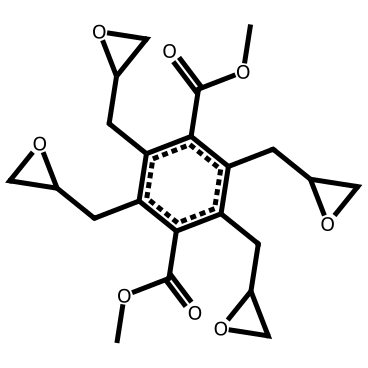 COC(=O)c1c(CC2CO2)c(CC2CO2)c(C(=O)OC)c(CC2CO2)c1CC1CO1